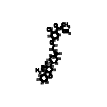 CN(C)C(=O)c1ccc(OCC[C@H]2CC23CC=C(C2CC(=O)[C@@](N)(c4ccccc4)C2(F)F)CC3)cc1Cl